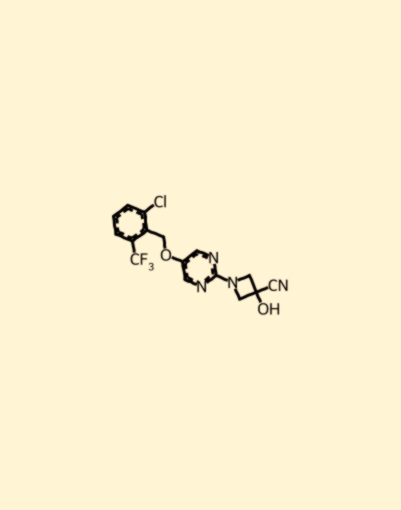 N#CC1(O)CN(c2ncc(OCc3c(Cl)cccc3C(F)(F)F)cn2)C1